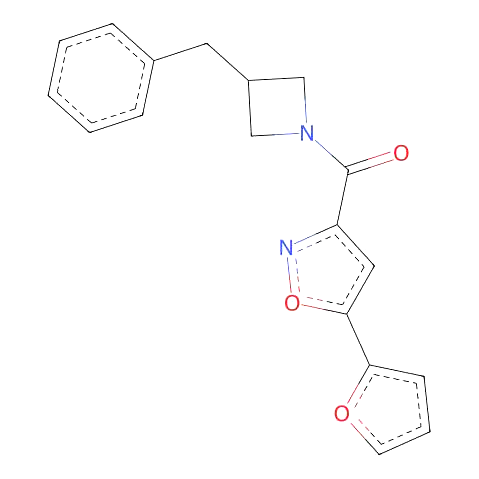 O=C(c1cc(-c2ccco2)on1)N1CC(Cc2ccccc2)C1